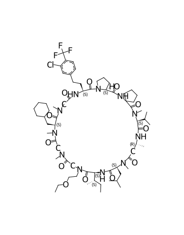 CCOCCN1CC(=O)N(C)CC(=O)N(C)[C@@H](CC2CCCCC2)C(=O)N(C)CC(=O)N[C@@H](CCc2ccc(C(F)(F)F)c(Cl)c2)C(=O)N2CCC[C@H]2C(=O)NC2(CCCC2)C(=O)N(C)[C@@H](C(C)C)C(=O)N[C@H](C)CC(=O)N(C)[C@@H](CC(C)C)C(=O)N[C@@H]([C@@H](C)CC)C1=O